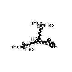 CCCCCCC(CCCCCC)C(=O)OCCCCCCC(O)(CCCCCCOC(=O)C(CCCCCC)CCCCCC)CCCCOC(=O)C1CCN(C)CC1